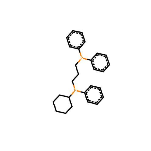 c1ccc(P(CCCP(c2ccccc2)C2CCCCC2)c2ccccc2)cc1